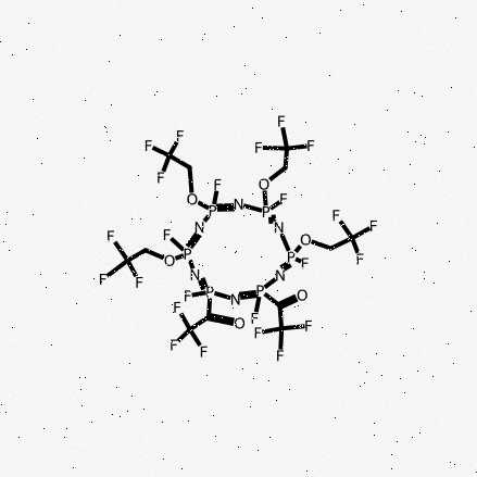 O=C(C(F)(F)F)P1(F)=NP(F)(OCC(F)(F)F)=NP(F)(OCC(F)(F)F)=NP(F)(OCC(F)(F)F)=NP(F)(OCC(F)(F)F)=NP(F)(C(=O)C(F)(F)F)=N1